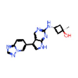 C[C@]1(O)C[C@H](Nc2ncc3c(-c4ccc5ncnn5c4)c[nH]c3n2)C1